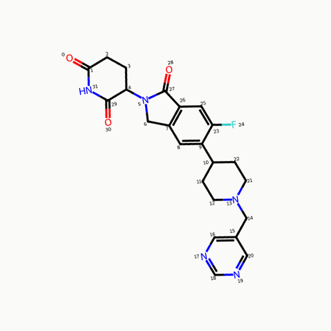 O=C1CCC(N2Cc3cc(C4CCN(Cc5cncnc5)CC4)c(F)cc3C2=O)C(=O)N1